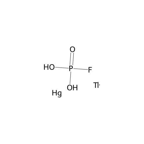 O=P(O)(O)F.[Hg].[Tl]